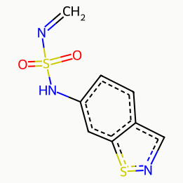 C=NS(=O)(=O)Nc1ccc2cnsc2c1